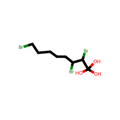 OC(O)(O)C(Br)C(Br)CCCCCBr